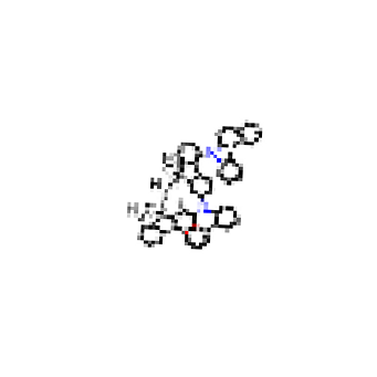 CC1(C)c2ccccc2-c2ccc(N(c3ccc4c(c3)C(C)(C)c3cccc(-n5c6ccccc6c6c7ccccc7ccc65)c3-4)c3ccccc3-c3ccccc3)cc21